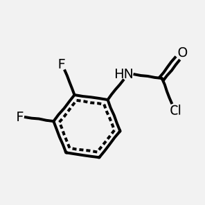 O=C(Cl)Nc1cccc(F)c1F